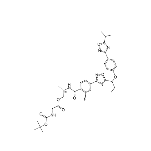 CCC(Oc1ccc(-c2noc(C(C)C)n2)cc1)c1nc(-c2ccc(C(=O)N[C@@H](C)COC(=O)CNC(=O)OC(C)(C)C)c(F)c2)no1